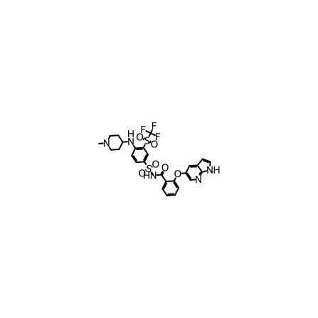 CN1CCC(Nc2ccc(S(=O)(=O)NC(=O)c3ccccc3Oc3cnc4[nH]ccc4c3)cc2S(=O)(=O)C(F)(F)F)CC1